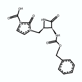 O=C(N[C@@H]1C(=O)N[C@@H]1Cn1ccn(C(=O)O)c1=O)OCc1ccccc1